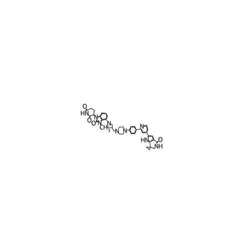 Cn1c(=O)n(C2CCC(=O)NC2=O)c2cccc(N3CC(CN4CCN(c5ccc(-c6cc(-c7cc8c([nH]7)C7(CC7)CNC8=O)ccn6)cc5)CC4)C3)c21